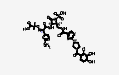 CC(C)(O/N=C(\C(=O)N[C@@H]1C(=O)N(S(=O)(=O)O)[C@@]1(C)CNC(=O)c1cnc([C@@H]2CCN(C(=O)c3ccc(O)c(O)c3Cl)C2)s1)c1csc(N)n1)C(=O)O